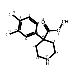 COC(=O)C1(c2ccc(Cl)c(Cl)c2)CCNCC1